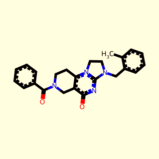 Cc1ccccc1CN1CCn2c1nc(=O)c1c2CCN(C(=O)c2ccccc2)C1